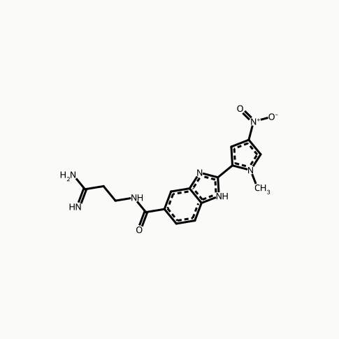 Cn1cc([N+](=O)[O-])cc1-c1nc2cc(C(=O)NCCC(=N)N)ccc2[nH]1